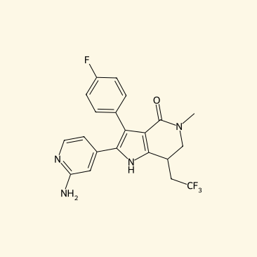 CN1CC(CC(F)(F)F)c2[nH]c(-c3ccnc(N)c3)c(-c3ccc(F)cc3)c2C1=O